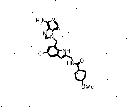 COC1CCC(C(=O)NCc2cc3cc(Cl)cc(Cn4cnc5c(N)ncnc54)c3[nH]2)CC1